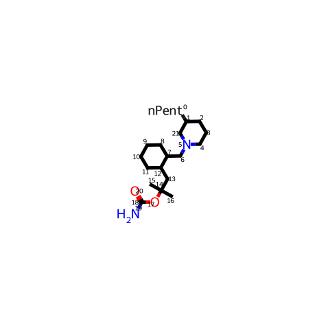 CCCCCC1CCCN(CC2CCCCC2CC(C)(C)OC(N)=O)C1